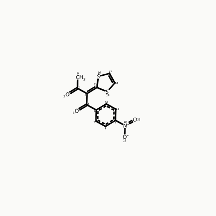 CC(=O)C(C(=O)c1ccc([N+](=O)[O-])cc1)=C1SC=CS1